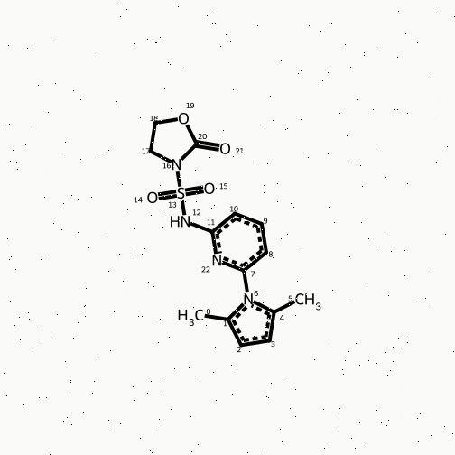 Cc1ccc(C)n1-c1cccc(NS(=O)(=O)N2CCOC2=O)n1